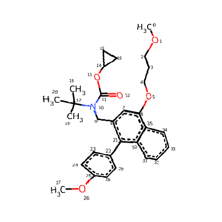 COCCCOc1cc(CN(C(=O)OC2CC2)C(C)(C)C)c(-c2ccc(OC)cc2)c2ccccc12